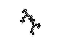 c1cc(-c2ccc(N(c3ccc(-c4cccc5oc6ccccc6c45)cc3)c3ccc(-c4cccc5oc6c(-c7ccc(-c8ccc(N(c9ccc(-c%10ccc(-c%11cccc%12c%11sc%11ccccc%11%12)cc%10)cc9)c9ccc(-c%10cccc%11oc%12ccccc%12c%10%11)cc9)cc8)c8c7oc7ccccc78)cccc6c45)cc3)cc2)cc(-c2cccc3sc4ccccc4c23)c1